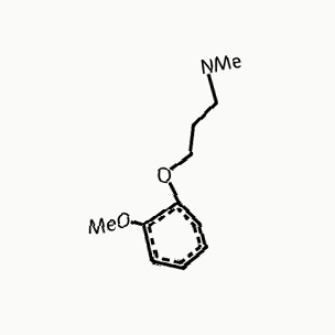 CNCCCOc1ccccc1OC